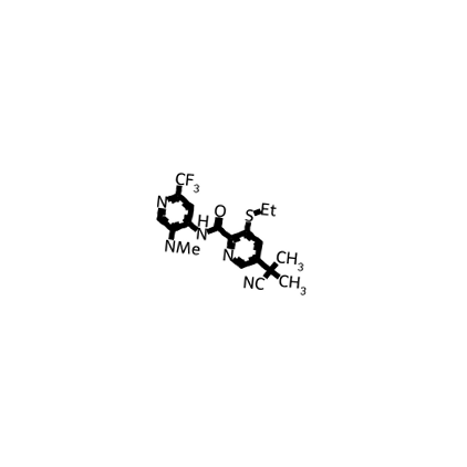 CCSc1cc(C(C)(C)C#N)cnc1C(=O)Nc1cc(C(F)(F)F)ncc1NC